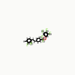 Cc1ccc(CCC2CCC(C(F)(F)Oc3cc(F)c(F)c(F)c3)CC2)c(F)c1F